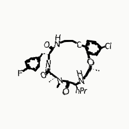 CCC[C@@H]1NC[C@@H](C)Oc2cc(Cl)ccc2CCCNC(=O)[C@@H](Cc2ccc(F)cc2)NC(=O)[C@@H](C)N(C)C1=O